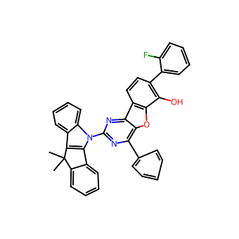 CC1(C)c2ccccc2-c2c1c1ccccc1n2-c1nc(-c2ccccc2)c2oc3c(O)c(-c4ccccc4F)ccc3c2n1